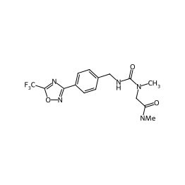 CNC(=O)CN(C)C(=O)NCc1ccc(-c2noc(C(F)(F)F)n2)cc1